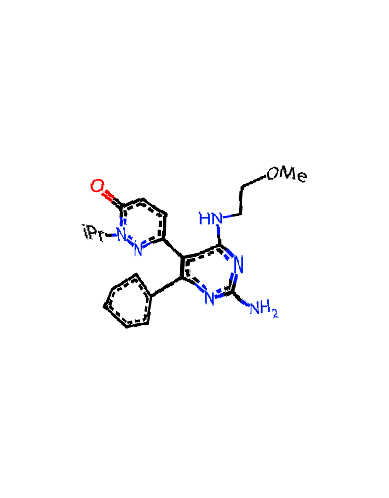 COCCNc1nc(N)nc(-c2ccccc2)c1-c1ccc(=O)n(C(C)C)n1